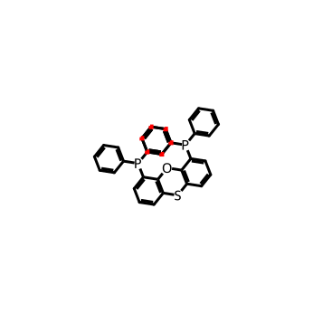 c1ccc(P(c2ccccc2)c2cccc3c2Oc2c(cccc2P(c2ccccc2)c2ccccc2)S3)cc1